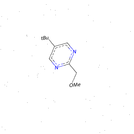 COCc1ncc(C(C)(C)C)cn1